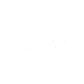 CCC(C)CC(C)CC(C(=O)O)C(O)(C(=O)O)C(CC(C)CC(C)CC)(CC(C)CC(C)CC)C(=O)O